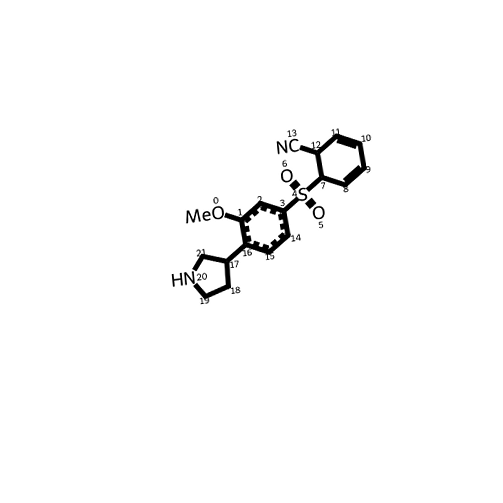 COc1cc(S(=O)(=O)C2C=CC=CC2C#N)ccc1C1CCNC1